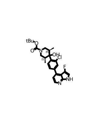 C[C@@H]1CN(C(=O)OC(C)(C)C)C[C@H](C)C1(O)c1ccc(-c2ccnc3[nH]cc(F)c23)cc1Cl